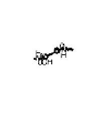 CCCCNC(=O)c1ccc(C#Cc2cnc(C(=O)NCC)c(O)c2)cc1